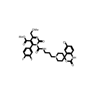 COCc1nc(=O)n(C(=O)NCCCN2CCC3(CC2)OC(=O)Nc2ccc(Cl)cc23)c(-c2ccc(F)c(F)c2)c1C(=O)OC